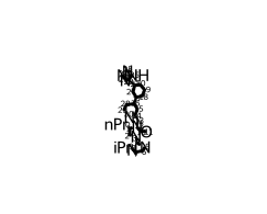 CCCc1cn(-c2nccn2C(C)C)c(=O)n1Cc1cc(-c2cccc(-c3nnn[nH]3)c2)ccn1